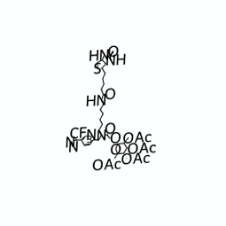 CC(=O)OC[C@H]1O[C@H](OCC(=O)N(CCCCCCNC(=O)CCCCC2SCC3NC(=O)NC32)Cc2ccc(C3(C(F)(F)F)N=N3)cn2)[C@@H](OC(C)=O)[C@@H](OC(C)=O)[C@@H]1OC(C)=O